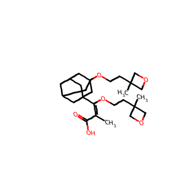 CC(C(=O)O)=C(OCCC1(C)COC1)C12CC3CC(CC(OCCC4(C)COC4)(C3)C1)C2